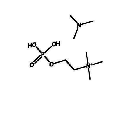 CN(C)C.C[N+](C)(C)CCOP(=O)(O)O